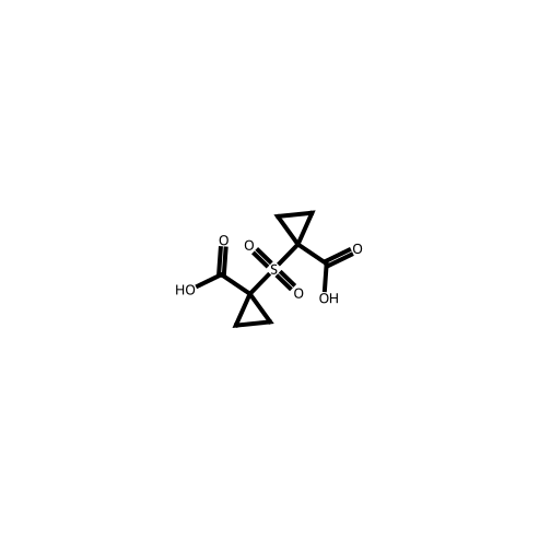 O=C(O)C1(S(=O)(=O)C2(C(=O)O)CC2)CC1